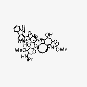 COC(=O)NC1=C2C#C/C=C\C#C[C@H](OC3OC(C)C(SC)(C(=O)c4nccc5c4[nH]c4ccccc45)C(O)C3OC3CC(OC)C(NC(C)C)CO3)C2/C(=C\CS(C)=S)[C@@H](O)CC1=O